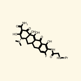 CCCNCC(=O)Nc1c(F)cc2c(c1O)C(=O)C1=C(O)C3(O)C(=O)C(C(N)=O)=C(O)[C@@H](N(C)C)C3CC1C2